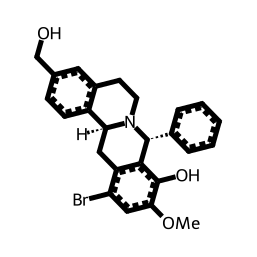 COc1cc(Br)c2c(c1O)[C@@H](c1ccccc1)N1CCc3cc(CO)ccc3[C@@H]1C2